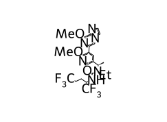 CCN(C(=O)N[C@@H](CCC(F)(F)F)C(F)(F)F)[C@H](C)c1cnc(OC)c(-c2cn3ccnc3c(OC)n2)c1